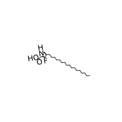 CCCCCCCCCCCCCCCCCc1c[nH]c(C(=O)O)c1F